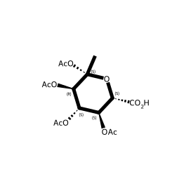 CC(=O)O[C@H]1[C@H](OC(C)=O)[C@@H](OC(C)=O)[C@](C)(OC(C)=O)O[C@@H]1C(=O)O